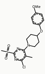 COc1ccc(OC2CCN(c3nc(S(C)(=O)=O)nc(Cl)c3C)CC2)cc1